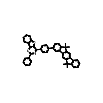 CC1(C)c2ccccc2-c2cc3c(cc21)-c1cc(-c2ccc(-c4nc(-c5ccccc5)nc5c4sc4ccccc45)cc2)ccc1C3(C)C